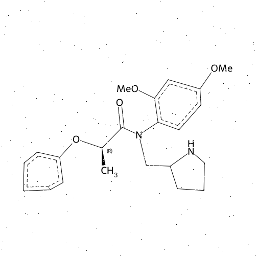 COc1ccc(N(CC2CCCN2)C(=O)[C@@H](C)Oc2ccccc2)c(OC)c1